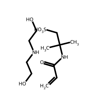 C=CC(=O)NC(C)(C)CS(=O)(=O)O.OCCNCCO